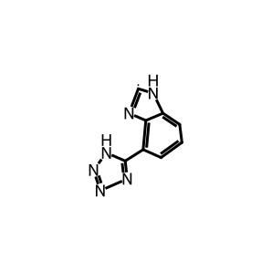 [c]1nc2c(-c3nnn[nH]3)cccc2[nH]1